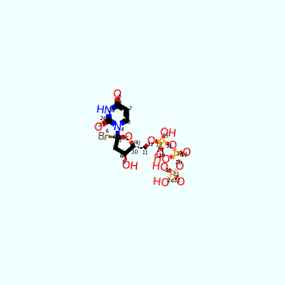 O=c1ccn([C@@]2(Br)C[C@H](O)[C@@H](COP(=O)(O)OP(=O)(O)OP(=O)(O)O)O2)c(=O)[nH]1